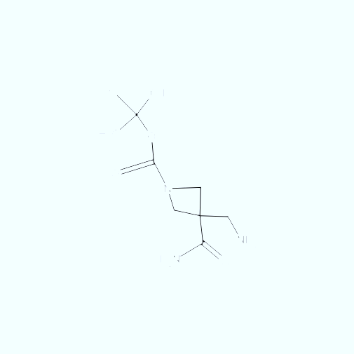 CC(C)(C)OC(=O)N1CC(CN)(C(N)=O)C1